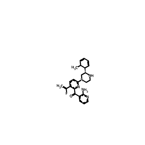 C=C(F)c1ccc(N2CCN[C@H](C3C=CC=CC3C)C2)nc1C(=O)c1cccnc1N